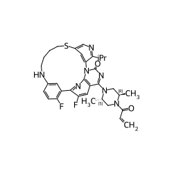 C=CC(=O)N1C[C@H](C)N(c2nc(=O)n3c4nc(c(F)cc24)-c2cc(ccc2F)NCCCCSc2cnc(C(C)C)c-3c2)C[C@H]1C